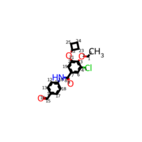 CCOc1c(Cl)cc(C(=O)Nc2ccc(C=O)cc2)cc1OC1CCC1